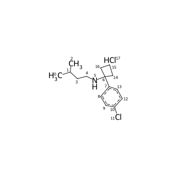 CC(C)CCNC1(c2ccc(Cl)cc2)CCC1.Cl